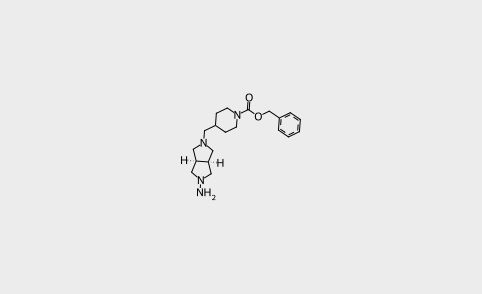 NN1C[C@@H]2CN(CC3CCN(C(=O)OCc4ccccc4)CC3)C[C@@H]2C1